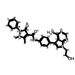 Cc1c(C(=O)Nc2ccc(-c3cn(CCO)c4ncnc(N)c34)cc2)c(=O)n(-c2ccccc2)n1C